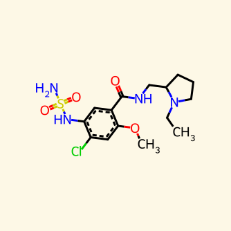 CCN1CCCC1CNC(=O)c1cc(NS(N)(=O)=O)c(Cl)cc1OC